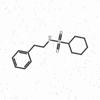 O=S(=O)(NCCc1ccccc1)C1CCCCC1